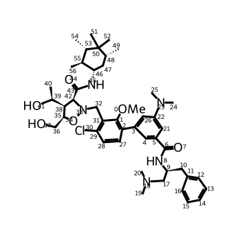 COc1c(-c2cc(C(=O)N[C@@H](Cc3ccccc3)CN(C)C)cc(N(C)C)c2)ccc(Cl)c1CN1O[C@@H](CO)[C@@H]([C@H](C)O)[C@H]1C(=O)N[C@H]1C[C@@H](C)C(C)(C)[C@@H](C)[C@@H]1C